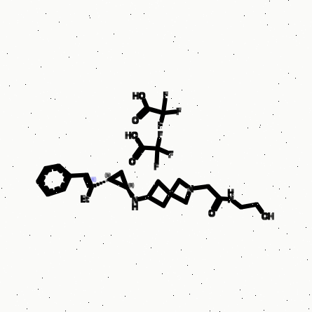 CC/C(=C\c1ccccc1)[C@@H]1C[C@H]1NC1CC2(C1)CN(CC(=O)NCCO)C2.O=C(O)C(F)(F)F.O=C(O)C(F)(F)F